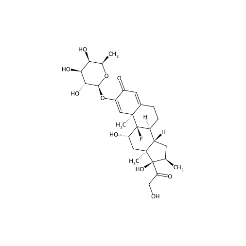 C[C@@H]1C[C@H]2[C@@H]3CCC4=CC(=O)C(O[C@@H]5O[C@H](C)[C@H](O)[C@H](O)[C@H]5O)=C[C@]4(C)[C@@]3(F)[C@@H](O)C[C@]2(C)[C@@]1(O)C(=O)CO